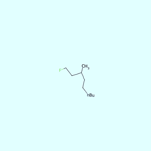 CCCCCCC(C)CCF